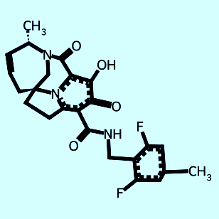 Cc1cc(F)c(CNC(=O)c2c3n4c(c(O)c2=O)C(=O)N2C[C@@]4(CC=C[C@@H]2C)CC3)c(F)c1